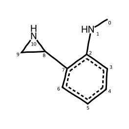 CNc1ccccc1C1CN1